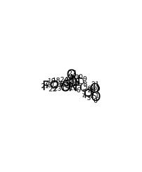 COc1ccc(/C=C2\CCCn3c2nc2oc(-c4ccc(F)cc4)cc2c3=O)cc1OC